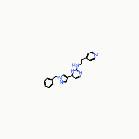 c1ccc(Cn2cc(-c3ccnc(NCCc4ccncc4)n3)cn2)cc1